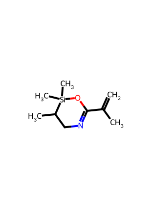 C=C(C)C1=NCC(C)[Si](C)(C)O1